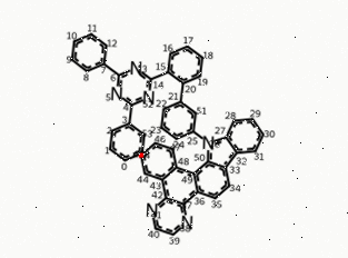 c1ccc(-c2nc(-c3ccccc3)nc(-c3ccccc3-c3cccc(-n4c5ccccc5c5ccc6c7nccnc7c7ccccc7c6c54)c3)n2)cc1